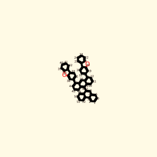 c1ccc2c(c1)cc(-c1c3cccc(-c4ccc5c(c4)oc4ccccc45)c3cc3c(-c4ccc5c(c4)oc4ccccc45)cccc13)c1ccccc12